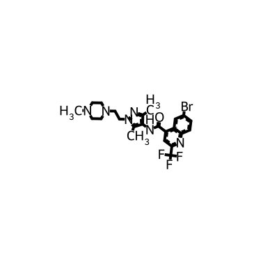 Cc1nn(CCN2CCN(C)CC2)c(C)c1NC(=O)c1cc(C(F)(F)F)nc2ccc(Br)cc12